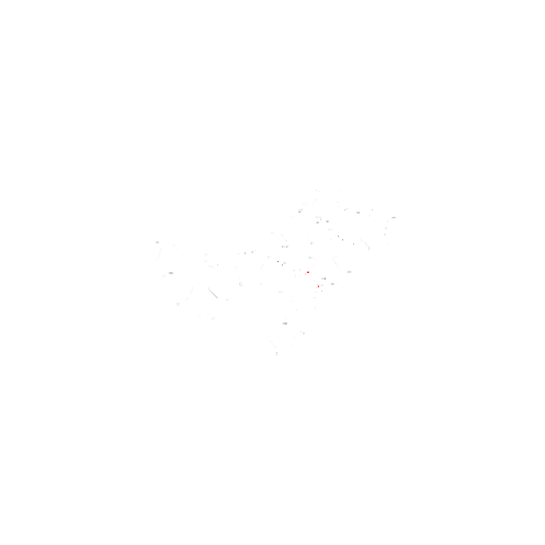 c1ccc(-c2cccc(N(c3ccc(-c4cc5ccccc5c5ccccc45)cc3)c3ccccc3-c3ccccc3-n3c4ccccc4c4ccccc43)c2)cc1